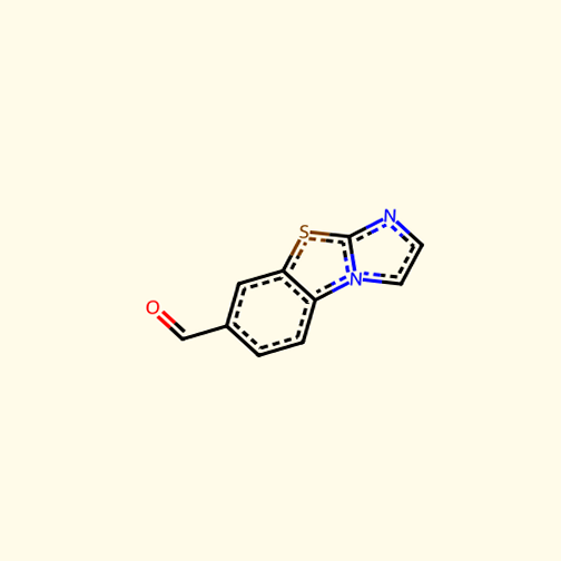 O=Cc1ccc2c(c1)sc1nccn12